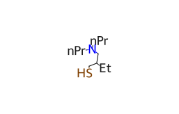 CCCN(CCC)CC(CC)CS